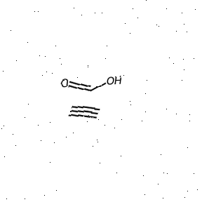 C#C.O=CO